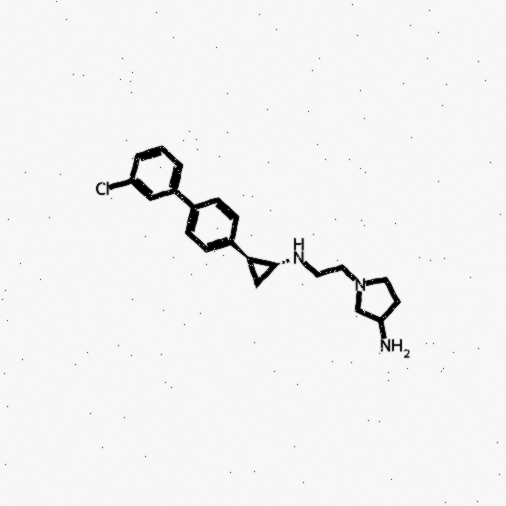 NC1CCN(CCN[C@@H]2C[C@H]2c2ccc(-c3cccc(Cl)c3)cc2)C1